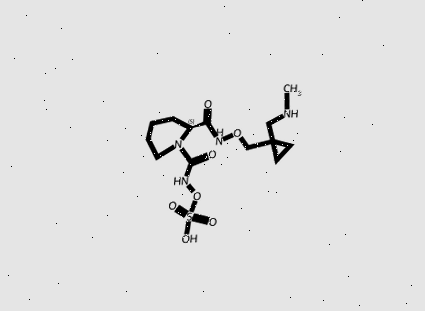 CNCC1(CONC(=O)[C@@H]2CCCCN2C(=O)NOS(=O)(=O)O)CC1